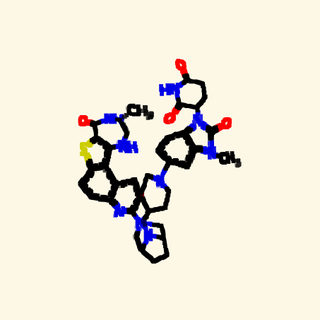 C[C@@H]1CNc2c(sc3ccc4nc(N5CC6CCC(C5)N6CC5CCN(c6ccc7c(c6)n(C)c(=O)n7C6CCC(=O)NC6=O)CC5)ccc4c23)C(=O)N1